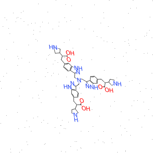 O=C(O)C(Cc1ccc2c(CN(Cc3n[nH]c4cc(CC(C(=O)O)C5CCNC5)ccc34)Cc3n[nH]c4cc(CC(C(=O)O)C5CCNC5)ccc34)n[nH]c2c1)C1CCNC1